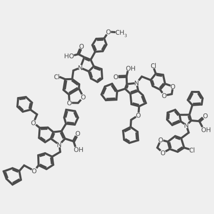 COc1ccc(-c2c(C(=O)O)n(Cc3cc4c(cc3Cl)OCO4)c3ccccc23)cc1.O=C(O)c1c(-c2ccccc2)c2cc(OCc3ccccc3)ccc2n1Cc1cc2c(cc1Cl)OCO2.O=C(O)c1c(-c2ccccc2)c2cc(OCc3ccccc3)ccc2n1Cc1ccc(OCc2ccccc2)cc1.O=C(O)c1c(-c2ccccc2)c2ccccc2n1Cc1cc2c(cc1Cl)OCO2